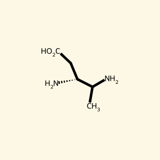 CC(N)[C@H](N)CC(=O)O